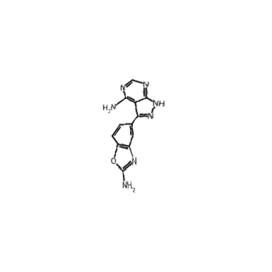 Nc1nc2cc(-c3n[nH]c4ncnc(N)c34)ccc2o1